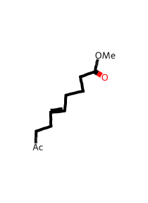 COC(=O)CCCC=CCCC(C)=O